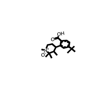 CC1C(c2cc(C(C)(C)C)ccc2C(=O)O)CC[N+](C)([O-])C1(C)C